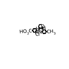 Cc1ccc2c(c1)[C@@H]1OCCC[C@@H]1[C@@H](c1ccc(C(=O)O)cc1Cl)N2